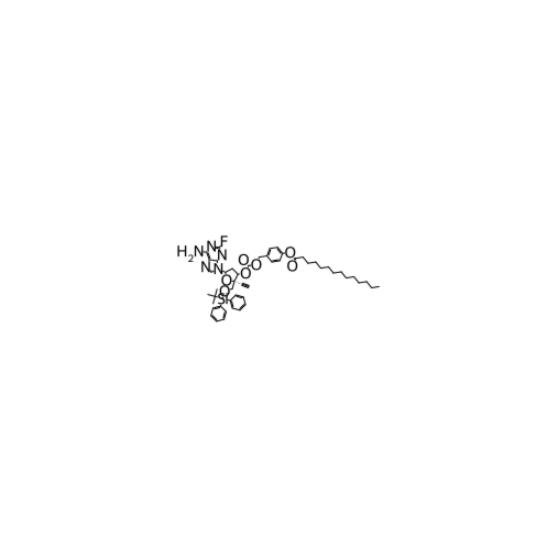 C#C[C@]1(CO[Si](c2ccccc2)(c2ccccc2)C(C)(C)C)O[C@@H](n2cnc3c(N)nc(F)nc32)C[C@@H]1OC(=O)OCc1ccc(OC(=O)CCCCCCCCCCCCC)cc1